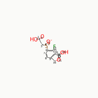 O=C(O)C[S@@+]([O-])c1ccc2c(c1F)B(O)OC2